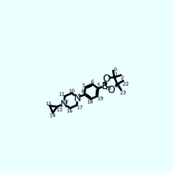 CC1(C)OB(c2ccc(N3CCN(C4CC4)CC3)cc2)OC1(C)C